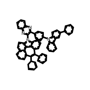 C1=CCC(C2=C(c3ccccc3)c3cccc4c3c3c5c2cccc5ccc3n4-c2nc3ccccc3nc2-c2ccc(-n3c4ccccc4c4cc(-c5ccccc5)ccc43)cc2)C=C1